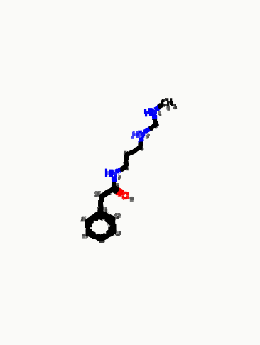 CNCNCCCNC(=O)Cc1ccccc1